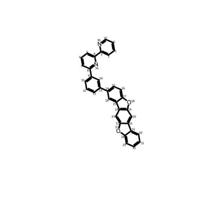 c1ccc(-c2cccc(-c3cccc(-c4ccc5oc6cc7c(cc6c5c4)oc4ccccc47)c3)n2)nc1